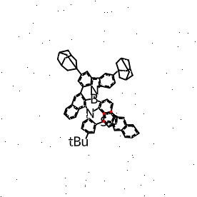 CC(C)(C)c1ccc(N2c3c4c(cc5ccccc35)-c3cc(C56CC7CC(CC(C7)C5)C6)cc5c6cc(C78CC9CC(CC(C9)C7)C8)ccc6n(c35)B4c3ccc4c(sc5cc6ccccc6cc54)c32)c(-c2ccccc2)c1